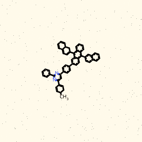 CC1C=CC(c2cc(-c3ccc(-c4ccc5c(-c6ccc7ccccc7c6)c6ccccc6c(C6=CC=C7C=CC=CC7C6)c5c4)cc3)nc(-c3ccccc3)n2)=CC1